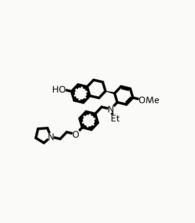 CCN(Cc1ccc(OCCN2CCCC2)cc1)C1C=C(OC)C=CC1[C@@H]1CCc2cc(O)ccc2C1